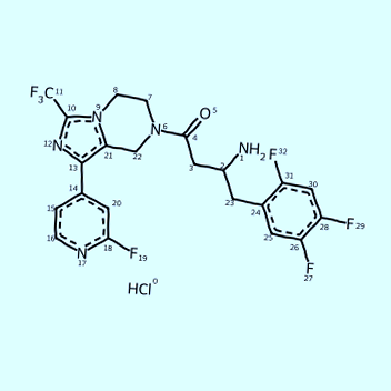 Cl.NC(CC(=O)N1CCn2c(C(F)(F)F)nc(-c3ccnc(F)c3)c2C1)Cc1cc(F)c(F)cc1F